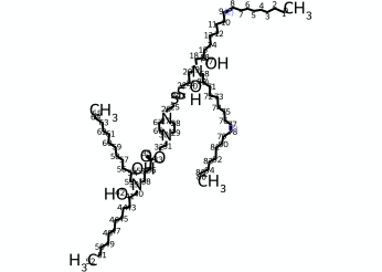 CCCCCCCC/C=C\CCCCCC[C@H](O)CN(CCCSSCCN1CCN(CCOC(=O)CCCN(CC(O)CCCCCCCCCC)CC(O)CCCCCCCCCC)CC1)C[C@@H](O)CCCCCC/C=C\CCCCCCCC